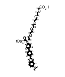 CN(C)c1ccc2nc(-c3ccc(-c4ccc(N(CCOCCOCCOCCOCCOCC(=O)O)C(=O)OC(C)(C)C)nc4)cc3)sc2c1